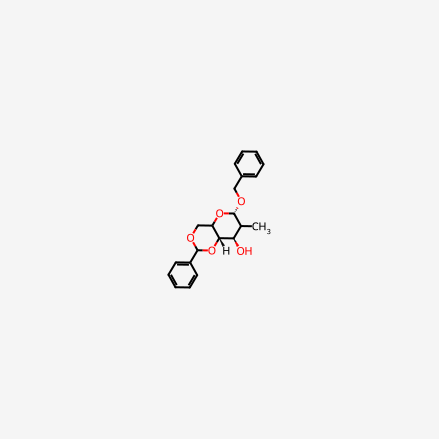 CC1[C@@H](OCc2ccccc2)OC2COC(c3ccccc3)O[C@H]2[C@@H]1O